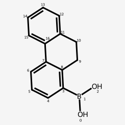 OB(O)c1cccc2c1CCc1ccccc1-2